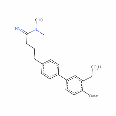 COc1ccc(-c2ccc(CCCC(=N)N(C)C=O)cc2)cc1CC(=O)O